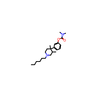 CCCCCCN1CCC(C)(c2cccc(OC(=O)N(C)C)c2)C(C)C1